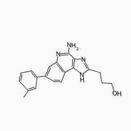 Cc1cccc(-c2ccc3c(c2)nc(N)c2nc(CCCO)[nH]c23)c1